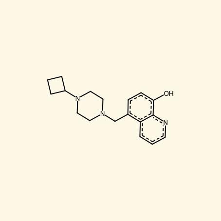 Oc1ccc(CN2CCN(C3CCC3)CC2)c2cccnc12